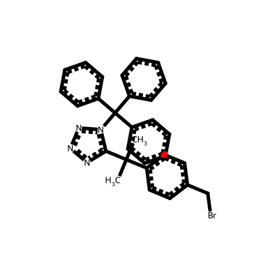 CC(C)(c1ccc(CBr)cc1)c1nnnn1C(c1ccccc1)(c1ccccc1)c1ccccc1